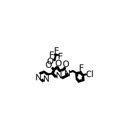 O=C(Oc1c(=O)c(-c2ccncn2)cn2ccn(Cc3cccc(Cl)c3F)c(=O)c12)C(F)(F)F